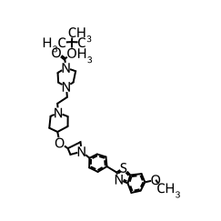 COc1ccc2nc(-c3ccc(N4CC(OC5CCN(CCN6CCN(C(=O)OC(C)(C)C)CC6)CC5)C4)cc3)sc2c1